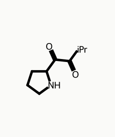 CC(C)C(=O)C(=O)C1CCCN1